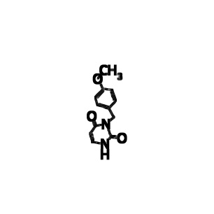 COc1ccc(Cn2c(=O)cc[nH]c2=O)cc1